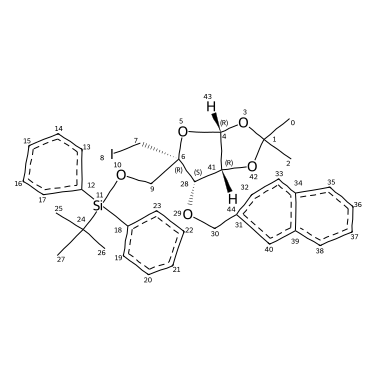 CC1(C)O[C@H]2O[C@](CI)(CO[Si](c3ccccc3)(c3ccccc3)C(C)(C)C)[C@@H](OCc3ccc4ccccc4c3)[C@H]2O1